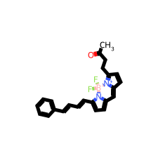 CC(=O)CCC1=[N+]2C(=Cc3ccc(/C=C/C=C/c4ccccc4)n3[B-]2(F)F)C=C1